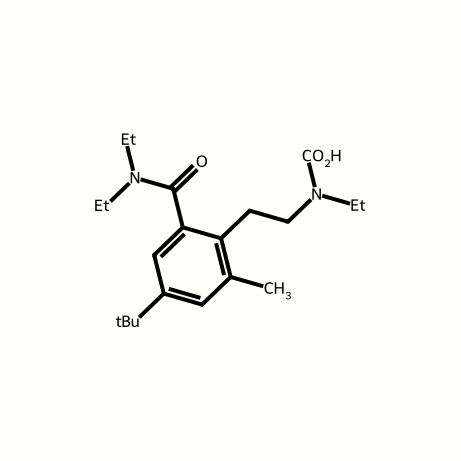 CCN(CCc1c(C)cc(C(C)(C)C)cc1C(=O)N(CC)CC)C(=O)O